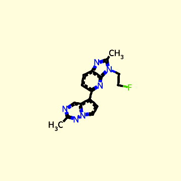 Cc1ncc2c(-c3ccc4nc(C)n(CCF)c4n3)ccn2n1